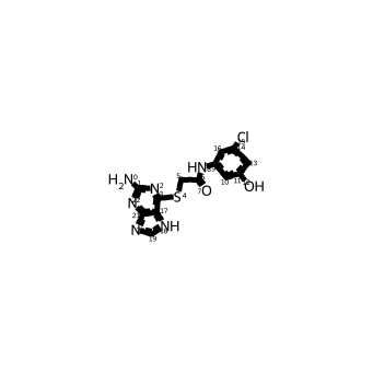 Nc1nc(SCC(=O)Nc2cc(O)cc(Cl)c2)c2[nH]cnc2n1